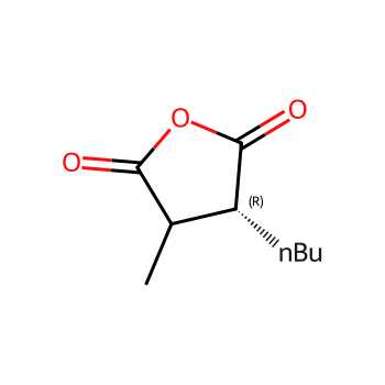 CCCC[C@H]1C(=O)OC(=O)C1C